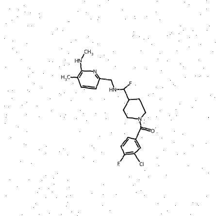 CNc1nc(CNC(F)C2CCN(C(=O)c3ccc(F)c(Cl)c3)CC2)ccc1C